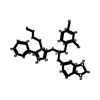 CCCCn1c(CN(Cc2ccc3c(c2)OCO3)Cc2ccc(C)cc2C)cnc1-c1ccccc1